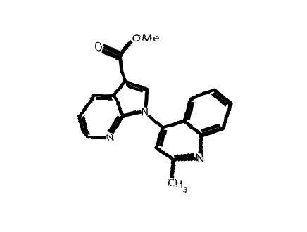 COC(=O)c1cn(-c2cc(C)nc3ccccc23)c2ncccc12